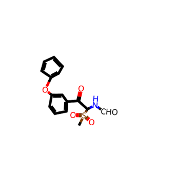 CS(=O)(=O)C(NC=O)C(=O)c1cccc(Oc2ccccc2)c1